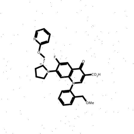 COCc1ccccc1-n1cc(C(=O)O)c(=O)c2cc(F)c(N3CCC[C@@H]3COc3ccccn3)cc21